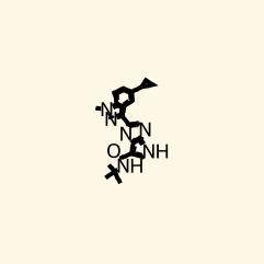 Cn1nc(-c2cnc3[nH]cc(C(=O)NC(C)(C)C)c3n2)c2cc(C3CC3)ccc21